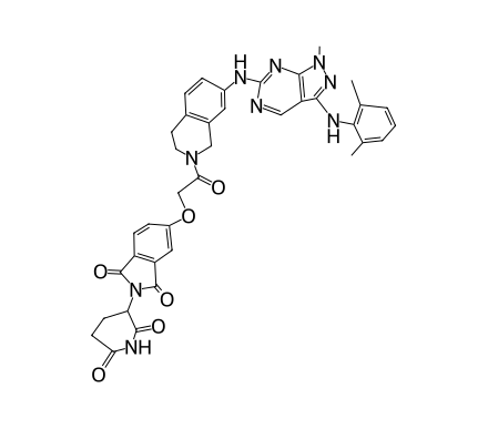 Cc1cccc(C)c1Nc1nn(C)c2nc(Nc3ccc4c(c3)CN(C(=O)COc3ccc5c(c3)C(=O)N(C3CCC(=O)NC3=O)C5=O)CC4)ncc12